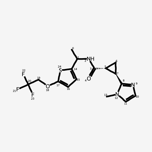 CC(NC(=O)[C@@H]1C[C@H]1c1nccn1C)c1ccc(OCC(F)(F)F)s1